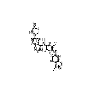 [2H]N1CCN(c2ncc3ncnc(Nc4ccc(Oc5ccc6c(c5)nnn6C)c(C)c4)c3n2)CC1